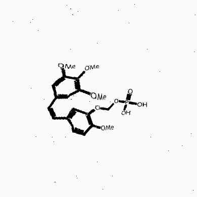 COc1ccc(/C=C\c2cc(OC)c(OC)c(OC)c2)cc1OCOP(=O)(O)O